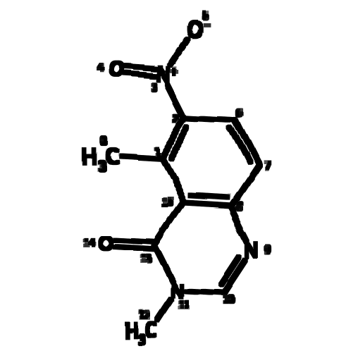 Cc1c([N+](=O)[O-])ccc2ncn(C)c(=O)c12